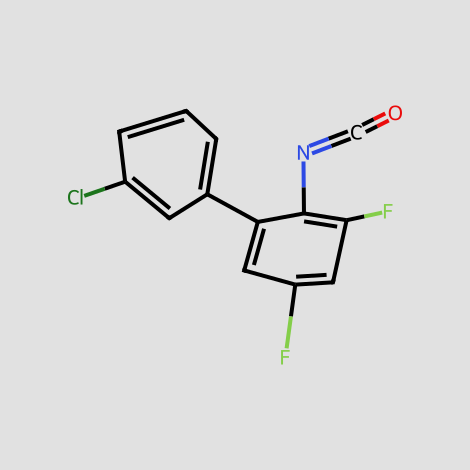 O=C=Nc1c(F)cc(F)cc1-c1cccc(Cl)c1